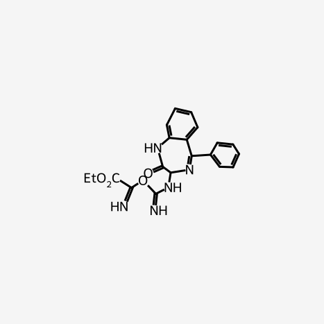 CCOC(=O)C(=N)OC(=N)NC1N=C(c2ccccc2)c2ccccc2NC1=O